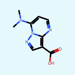 CN(C)c1ccnc2c(C(=O)O)cnn12